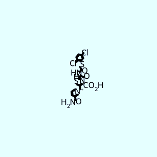 NC(=O)c1ccc[n+](CC2=C(C(=O)O)N3C(=O)[C@H](NC(=O)CSc4cc(Cl)ccc4Cl)[C@H]3SC2)c1